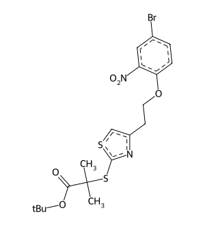 CC(C)(C)OC(=O)C(C)(C)Sc1nc(CCOc2ccc(Br)cc2[N+](=O)[O-])cs1